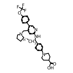 CC[C@@H]1CCCN1Cc1cc(NCc2ccc(N3CCC(C(=O)O)CC3)cc2)ncc1-c1ccc(OC(F)(F)F)cc1